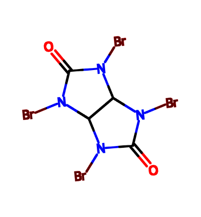 O=C1N(Br)C2C(N1Br)N(Br)C(=O)N2Br